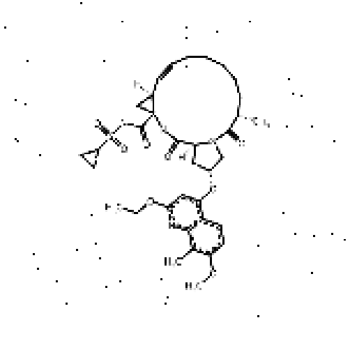 CCOc1cc(O[C@@H]2C[C@H]3C(=O)N[C@]4(C(=O)NS(=O)(=O)C5CC5)C[C@H]4/C=C\CCCCC[C@H](C)C(=O)N3C2)c2ccc(OC)c(C)c2n1